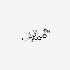 C/C=C/Cc1nn(C(C)CC)c(=O)n1Cc1ccc(-c2cccc(-c3nnn[nH]3)c2)cc1